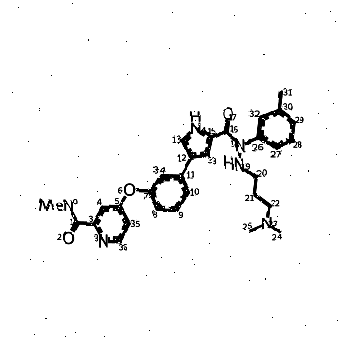 CNC(=O)c1cc(Oc2cccc(-c3c[nH]c(C(=O)N(NCCCN(C)C)c4cccc(C)c4)c3)c2)ccn1